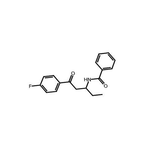 CCC(CC(=O)c1ccc(F)cc1)NC(=O)c1ccccc1